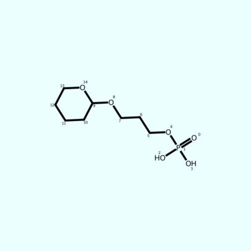 O=P(O)(O)OCCCOC1CCCCO1